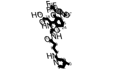 Cc1ccnc(NCCCC(=O)NCC(=O)NC(CC(=O)O)c2cccc([N+](=O)[O-])c2OC(=O)C(F)(F)F)c1